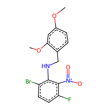 COc1ccc(CNc2c(Br)ccc(F)c2[N+](=O)[O-])c(OC)c1